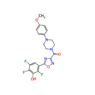 COc1ccc(N2CCN(C(=O)c3noc(-c4cc(F)c(F)c(O)c4F)n3)CC2)cc1